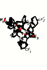 FC(F)(F)c1ccc2c(c1)c1cc(C(F)(F)F)ccc1n2-c1cccc(-n2c3ccc(C(F)(F)F)cc3c3cc(C(F)(F)F)ccc32)c1-c1nc(-c2ccccc2)nc(-c2c(-n3c4ccc(C(F)(F)F)cc4c4cc(C(F)(F)F)ccc43)cccc2-n2c3ccc(C(F)(F)F)cc3c3cc(C(F)(F)F)ccc32)n1